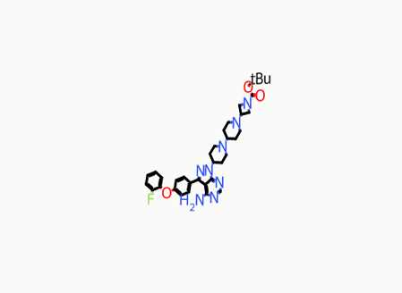 CC(C)(C)OC(=O)N1CC(N2CCC(N3CCC(n4nc(-c5ccc(Oc6ccccc6F)cc5)c5c(N)ncnc54)CC3)CC2)C1